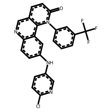 O=c1ccc2cnc3ccc(Nc4ccc(Cl)nc4)cc3c2n1-c1cccc(C(F)(F)F)c1